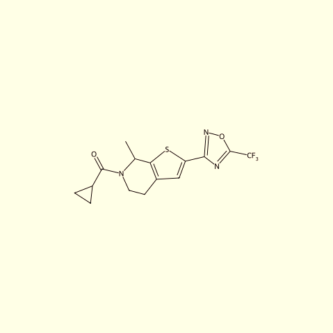 CC1c2sc(-c3noc(C(F)(F)F)n3)cc2CCN1C(=O)C1CC1